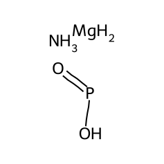 N.O=PO.[MgH2]